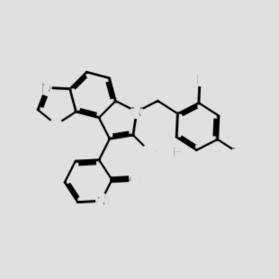 O=C(O)c1c(-c2ccc[nH]c2=O)c2c3scnc3ccc2n1Cc1ccc(F)cc1F